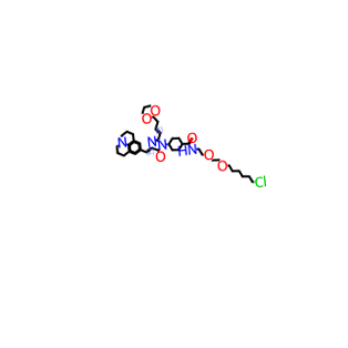 O=C(NCCOCCOCCCCCCCl)C1CCC(N2C(=O)/C(=C/c3cc4c5c(c3)CCCN5CCC4)N=C2/C=C/CC2OCCCO2)CC1